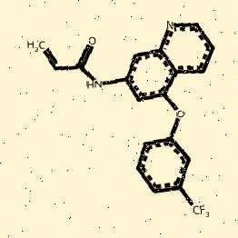 C=CC(=O)Nc1cc(Oc2cccc(C(F)(F)F)c2)c2cccnc2c1